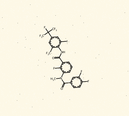 CN(C(=O)c1ccc(F)c(F)c1)c1cccc(C(=O)Nc2c(I)cc(C(F)(C(F)(F)F)C(F)(F)F)cc2C(F)(F)F)c1F